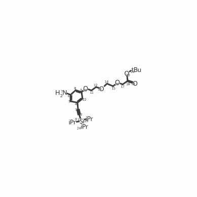 CC(C)[Si](C#Cc1cc(N)cc(OCCOCCOCC(=O)OC(C)(C)C)c1)(C(C)C)C(C)C